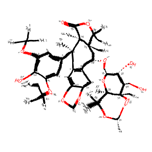 [2H]C([2H])([2H])Oc1cc([C@]2([2H])c3cc4c(cc3[C@@H](O[C@@H]3O[C@H]5[C@@H](O[C@H](C)OC5([2H])[2H])[C@H](O)[C@H]3O)[C@@H]3[C@@H]2C(=O)OC3([2H])[2H])OCO4)cc(OC([2H])([2H])[2H])c1O